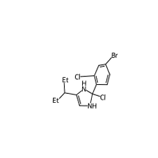 CCC(CC)C1=CNC(Cl)(c2ccc(Br)cc2Cl)N1